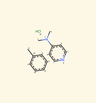 CN(C)c1ccncc1.Cc1ccccc1.Cl